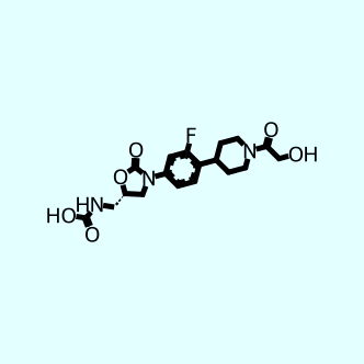 O=C(O)NC[C@H]1CN(c2ccc(C3CCN(C(=O)CO)CC3)c(F)c2)C(=O)O1